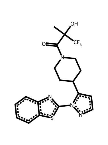 CC(O)(C(=O)N1CCC(c2ccnn2-c2nc3ccccc3s2)CC1)C(F)(F)F